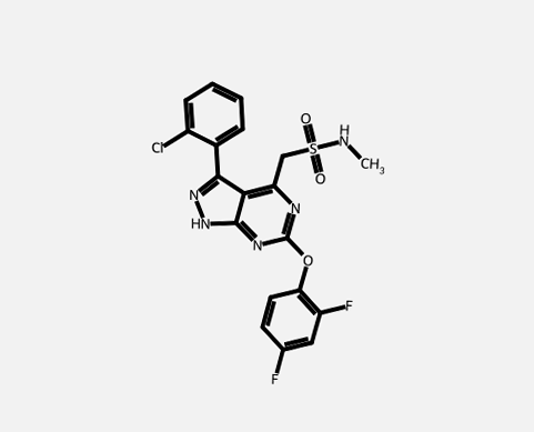 CNS(=O)(=O)Cc1nc(Oc2ccc(F)cc2F)nc2[nH]nc(-c3ccccc3Cl)c12